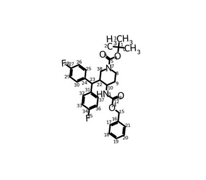 CC(C)(C)OC(=O)N1CCC(NC(=O)OCc2ccccc2)C(C(c2ccc(F)cc2)c2ccc(F)cc2)C1